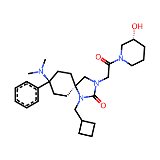 CN(C)[C@]1(c2ccccc2)CC[C@]2(CC1)CN(CC(=O)N1CCC[C@@H](O)C1)C(=O)N2CC1CCC1